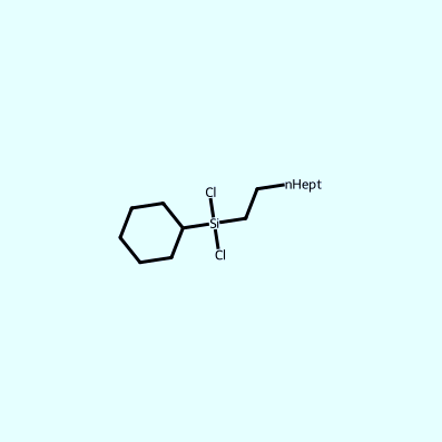 CCCCCCCCC[Si](Cl)(Cl)C1CCCCC1